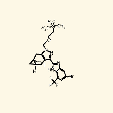 C[C@@]12Cc3c(c(-c4nc5cc(Br)cc(C(F)(F)F)c5[nH]4)nn3COCC[Si](C)(C)C)C[C@@H]1C2